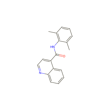 Cc1cccc(C)c1NC(=O)c1ccnc2ccccc12